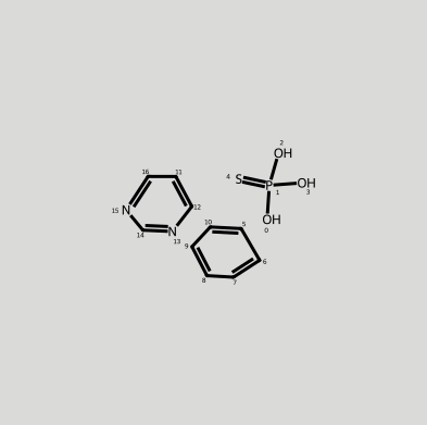 OP(O)(O)=S.c1ccccc1.c1cncnc1